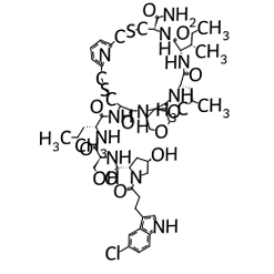 CC[C@H](C)[C@@H]1NC(=O)[C@H](CC(C)C)NC(=O)C2(CCOCC2)NC(=O)[C@@H](NC(=O)[C@@H](CC(C)C)NC(=O)[C@H](CO)NC(=O)[C@@H]2C[C@@H](O)CN2C(=O)CCc2c[nH]c3ccc(Cl)cc23)CSCc2cccc(n2)CSC[C@@H](C(N)=O)NC1=O